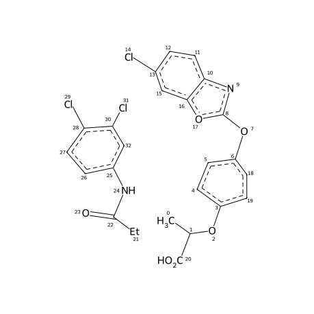 CC(Oc1ccc(Oc2nc3ccc(Cl)cc3o2)cc1)C(=O)O.CCC(=O)Nc1ccc(Cl)c(Cl)c1